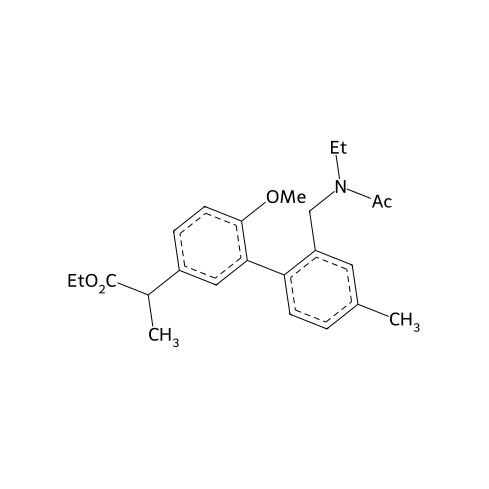 CCOC(=O)C(C)c1ccc(OC)c(-c2ccc(C)cc2CN(CC)C(C)=O)c1